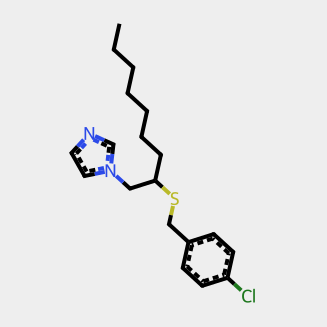 CCCCCCCC(Cn1ccnc1)SCc1ccc(Cl)cc1